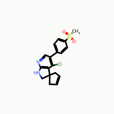 CS(=O)(=O)c1ccc(-c2cnc3c(c2Cl)C2(CC=CC2)CN3)cc1